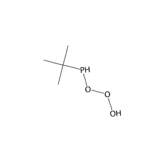 CC(C)(C)POOO